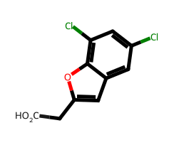 O=C(O)Cc1cc2cc(Cl)cc(Cl)c2o1